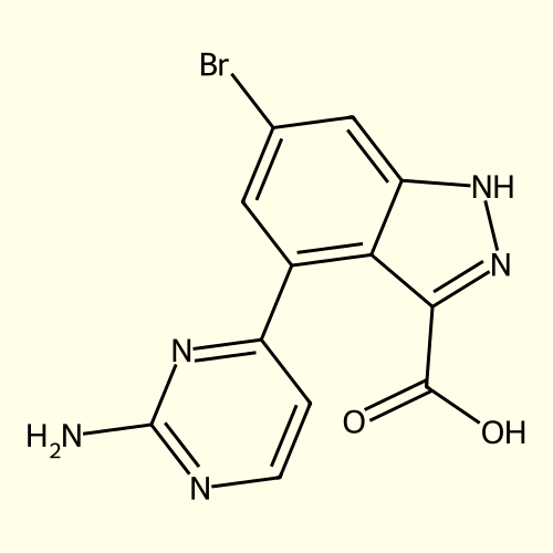 Nc1nccc(-c2cc(Br)cc3[nH]nc(C(=O)O)c23)n1